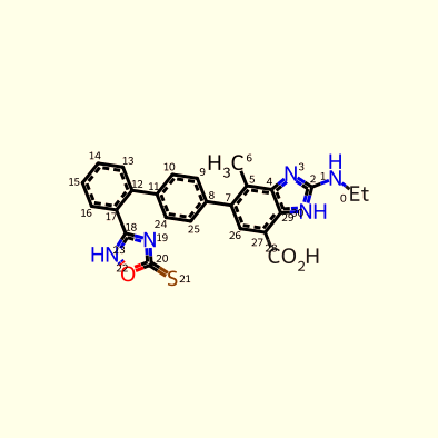 CCNc1nc2c(C)c(-c3ccc(-c4ccccc4-c4nc(=S)o[nH]4)cc3)cc(C(=O)O)c2[nH]1